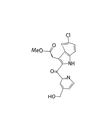 COC(=O)Cc1c(C(=O)c2cc(CO)ccn2)[nH]c2ccc(Cl)cc12